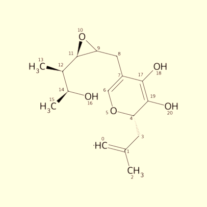 [CH]=C(C)C[C@@H]1OC=C(CC2O[C@@H]2[C@H](C)[C@H](C)O)C(O)=C1O